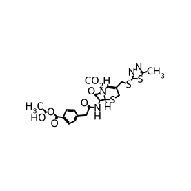 Cc1nnc(SCC2=C(C(=O)O)N3C(=O)C(NC(=O)Cc4ccc(C(=O)OC(C)O)cc4)[C@@H]3SC2)s1